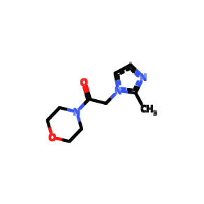 Cc1n[c]cn1CC(=O)N1CCOCC1